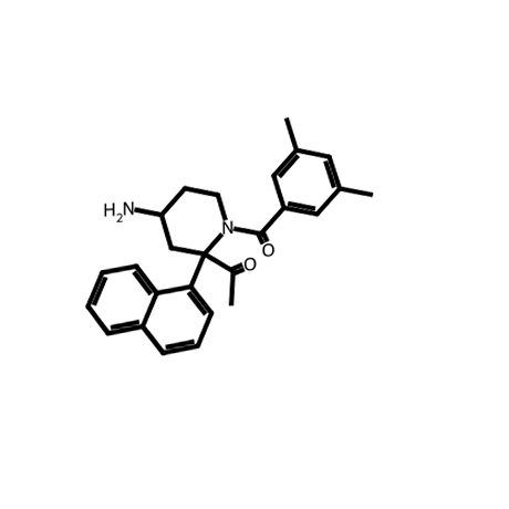 CC(=O)C1(c2cccc3ccccc23)CC(N)CCN1C(=O)c1cc(C)cc(C)c1